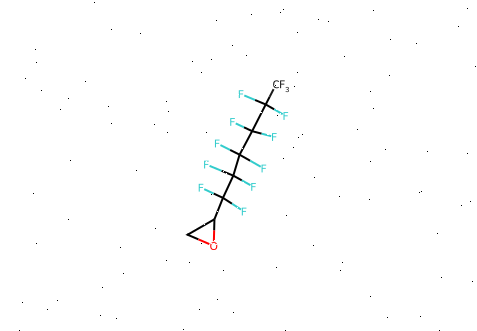 FC(F)(F)C(F)(F)C(F)(F)C(F)(F)C(F)(F)C(F)(F)C1CO1